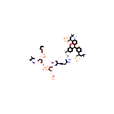 Cc1cn([C@H]2CC(OP(=O)(O)OCc3ccco3)[C@@H](COP(=O)(O)OC3C[C@H](n4cc(C#CCc5cn(CNC(=O)c6ccc(C7=c8cc9c(cc8Oc8cc%10c(cc87)C(CS(=O)(=O)O)=CC(C)(C)N%10C)=[N+](C)C(C)(C)C=C9CS(=O)(=O)O)c(C(=O)O)c6)nn5)c(=O)[nH]c4=O)O[C@@H]3COP(=O)(O)O)O2)c(=O)[nH]c1=O